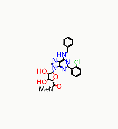 CNC(=O)[C@@H]1OC(n2cnc3c(NCc4ccccc4)nc(-c4ccccc4Cl)nc32)C(O)C1O